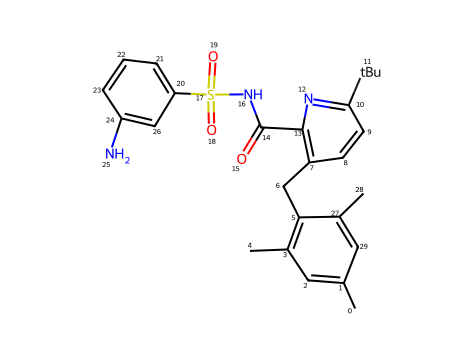 Cc1cc(C)c(Cc2ccc(C(C)(C)C)nc2C(=O)NS(=O)(=O)c2cccc(N)c2)c(C)c1